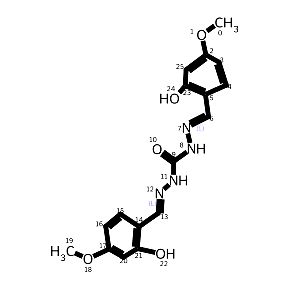 COc1ccc(/C=N/NC(=O)N/N=C/c2ccc(OC)cc2O)c(O)c1